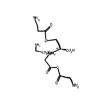 NCC(=O)O.NCC(=O)OC(=O)CN.NCC(=O)OC[C@H](N)C(=O)O